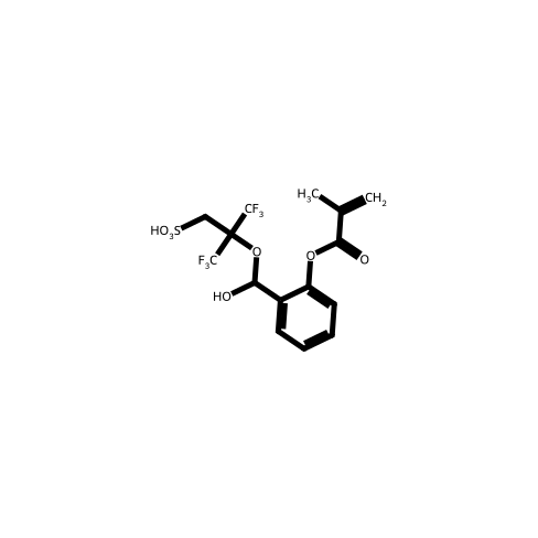 C=C(C)C(=O)Oc1ccccc1C(O)OC(CS(=O)(=O)O)(C(F)(F)F)C(F)(F)F